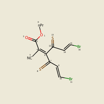 CCCOC(=O)C(C#N)=C(C(=S)C=CBr)C(=S)C=CBr